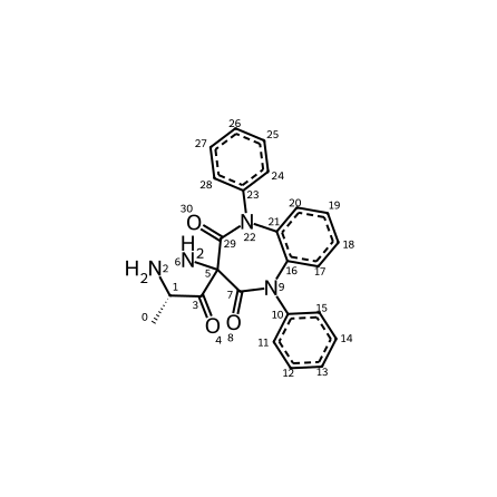 C[C@H](N)C(=O)C1(N)C(=O)N(c2ccccc2)c2ccccc2N(c2ccccc2)C1=O